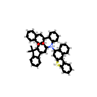 CC1(C)c2ccccc2-c2cc(N(c3ccccc3-c3ccc4ccccc4c3)c3cc4sc5ccccc5c4c4ccccc34)ccc21